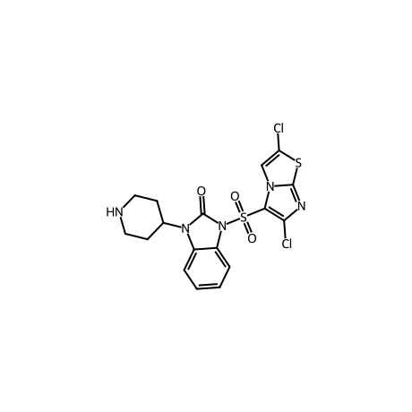 O=c1n(C2CCNCC2)c2ccccc2n1S(=O)(=O)c1c(Cl)nc2sc(Cl)cn12